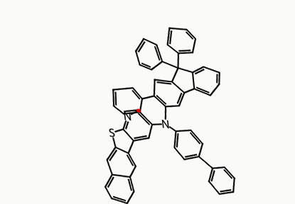 c1ccc(-c2ccc(N(c3cnc4sc5cc6ccccc6cc5c4c3)c3cc4c(cc3-c3ccccc3)C(c3ccccc3)(c3ccccc3)c3ccccc3-4)cc2)cc1